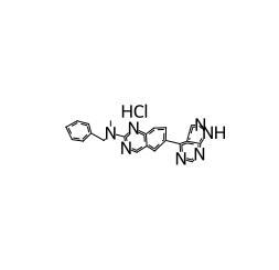 CN(Cc1ccccc1)c1ncc2cc(-c3ncnc4[nH]ncc34)ccc2n1.Cl